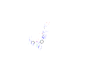 C[C@@H]1CN(c2cc(F)c(-n3cc(C(=O)NCCCN4CCOCC4)nn3)c(F)c2NC(=O)c2cc(N)c(F)nc2Cl)C[C@H](C)N1C